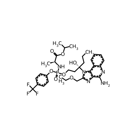 CCC[C@](O)(CCOP(=O)(N[C@@H](C)C(=O)OC(C)C)Oc1ccc(C(F)(F)F)cc1)n1c(COCC)nc2c(N)nc3ccccc3c21